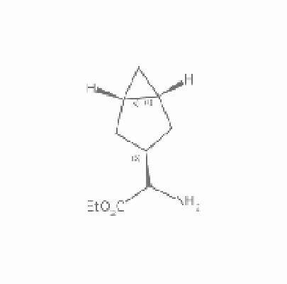 CCOC(=O)C(N)[C@H]1C[C@@H]2C[C@@H]2C1